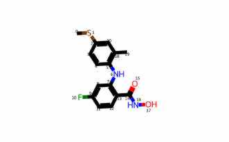 CSc1ccc(Nc2cc(F)ccc2C(=O)NO)c(C)c1